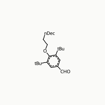 CCCCCCCCCCCCOc1c(C(C)(C)C)cc(C=O)cc1C(C)(C)C